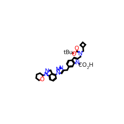 CC(C)(C)OC(=O)N(Cc1cc2ccc(Cc3cn(-c4cccc5c4cnn5C4CCCCO4)nn3)cc2n1C(=O)O)CC1CCC1